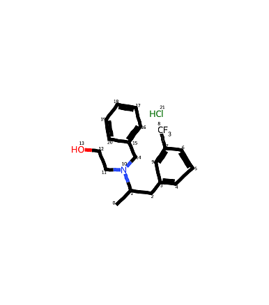 CC(Cc1cccc(C(F)(F)F)c1)N(CCO)Cc1ccccc1.Cl